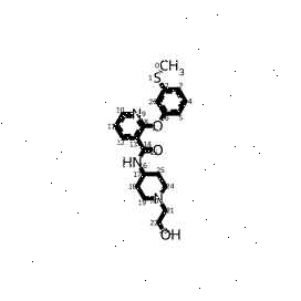 CSc1cccc(Oc2ncccc2C(=O)NC2CCN(CCO)CC2)c1